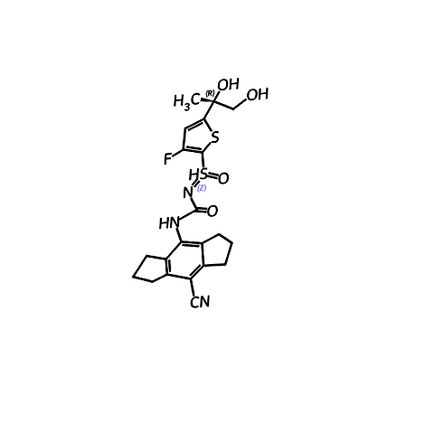 C[C@@](O)(CO)c1cc(F)c(/[SH](=O)=N/C(=O)Nc2c3c(c(C#N)c4c2CCC4)CCC3)s1